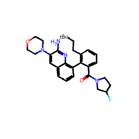 CC(C)(C)CCc1cccc(C(=O)N2CCC(F)C2)c1-c1cccc2cc(N3CCOCC3)c(N)nc12